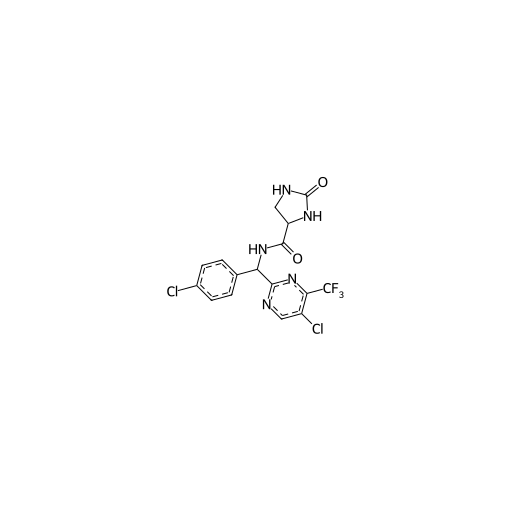 O=C1NCC(C(=O)NC(c2ccc(Cl)cc2)c2ncc(Cl)c(C(F)(F)F)n2)N1